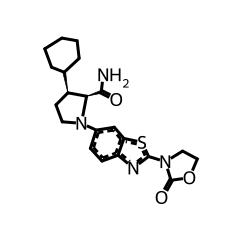 NC(=O)[C@@H]1[C@H](C2CCCCC2)CCN1c1ccc2nc(N3CCOC3=O)sc2c1